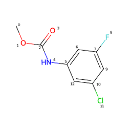 COC(=O)Nc1cc(F)cc(Cl)c1